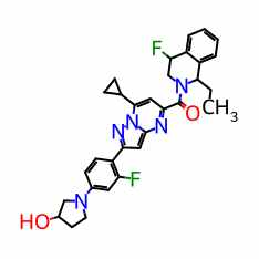 CCC1c2ccccc2C(F)CN1C(=O)c1cc(C2CC2)n2nc(-c3ccc(N4CCC(O)C4)cc3F)cc2n1